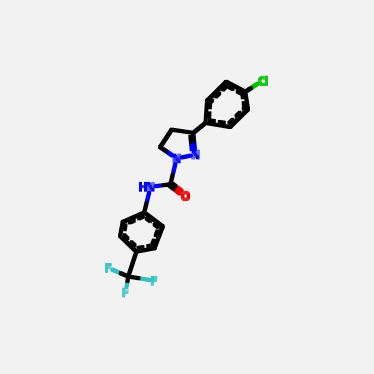 O=C(Nc1ccc(C(F)(F)F)cc1)N1CCC(c2ccc(Cl)cc2)=N1